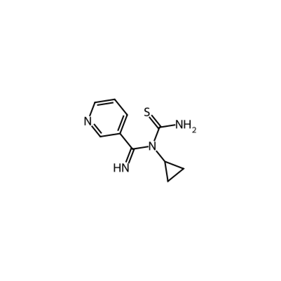 N=C(c1cccnc1)N(C(N)=S)C1CC1